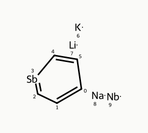 C1=C[CH]=[Sb][CH]=C1.[K].[Li].[Na].[Nb]